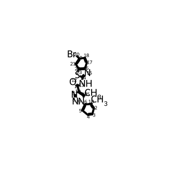 Cc1ccccc1-n1nnc(C(=O)Nc2nc3ccc(Br)cc3s2)c1C